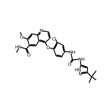 CNC(=O)c1cc2c(Oc3ccc(NC(=O)Nc4cc(C(C)(C)C)n[nH]4)cc3Cl)ccnc2cc1OC